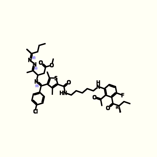 CCC/C(C)=N\N=C(/C)C(CC(=O)OC)/N=C(/c1ccc(Cl)cc1)c1c(C)sc(C(=O)NCCCCCNc2ccc(F)c(C(=O)[C@H](C)CC)c2C(C)=O)c1C